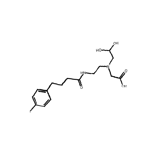 O=C(O)CN(CCNC(=O)CCCc1ccc(I)cc1)CC(O)O